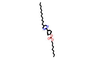 CCCCCCCCCCCCc1cnc(-c2ccc(OC(=O)OCCCCCCCCC)cc2)nc1